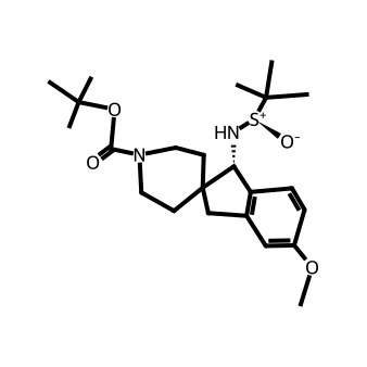 COc1ccc2c(c1)CC1(CCN(C(=O)OC(C)(C)C)CC1)[C@@H]2N[S@+]([O-])C(C)(C)C